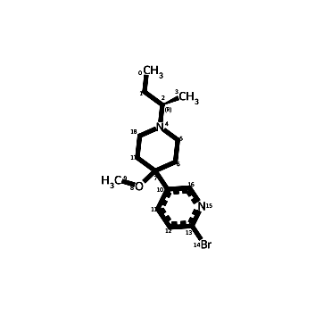 CC[C@@H](C)N1CCC(OC)(c2ccc(Br)nc2)CC1